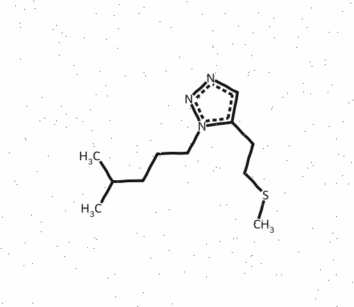 CSCCc1cnnn1CCCC(C)C